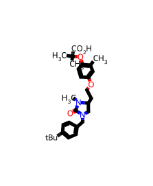 Cc1cc(OCCC2CN(Cc3ccc(C(C)(C)C)cc3)C(=O)N2C)ccc1OC(C)(C)C(=O)O